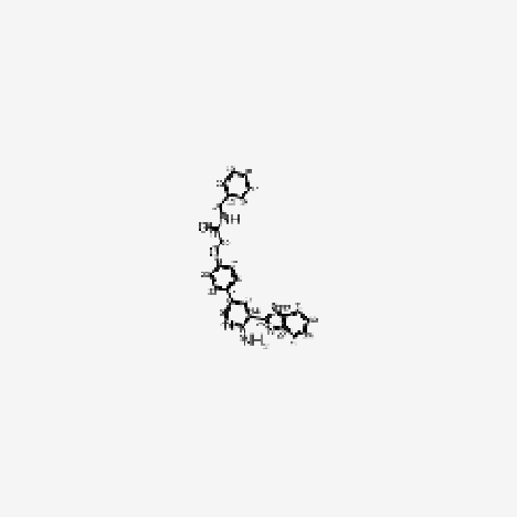 Nc1ncc(-c2ccc(OCC(=O)NCc3ccccc3)cc2)cc1-c1nc2ccccc2s1